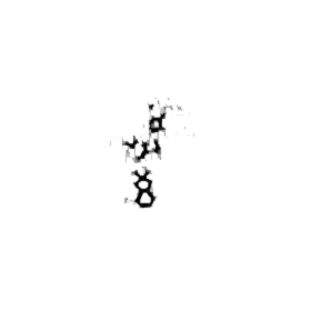 CC(=O)OC[C@H]1O[C@@H](n2cnc3c(N4CC5(Cc6cccc(F)c6C5)C4)nc(Cl)nc32)C(OC(C)=O)C1OC(C)=O